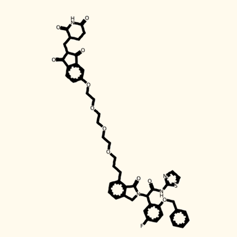 O=C1CCC(CC2C(=O)c3ccc(OCCOCCOCCOCCCc4cccc5c4C(=O)N(C(C(=O)Nc4nccs4)c4cc(F)ccc4OCc4ccccc4)C5)cc3C2=O)C(=O)N1